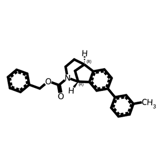 Cc1cccc(-c2ccc3c(c2)[C@H]2C[C@H]3CCN2C(=O)OCc2ccccc2)c1